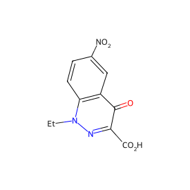 CCn1nc(C(=O)O)c(=O)c2cc([N+](=O)[O-])ccc21